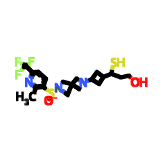 Cc1nc(C(F)(F)F)ccc1[S+]([O-])N1CC2(CN(C3CC(C(S)CCO)C3)C2)C1